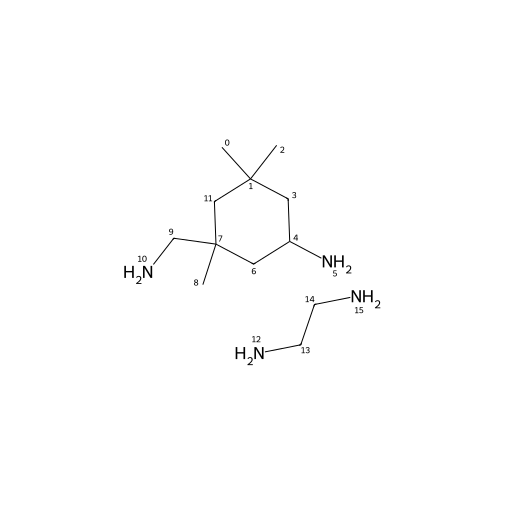 CC1(C)CC(N)CC(C)(CN)C1.NCCN